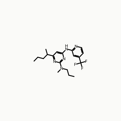 CCCC(C)c1cc(Nc2cc(C(F)(F)F)ccn2)nc(N(C)CCC)n1